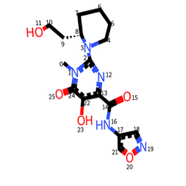 Cn1c(N2CCCC[C@H]2CCO)nc(C(=O)Nc2cnoc2)c(O)c1=O